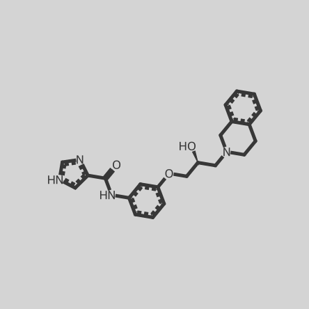 O=C(Nc1cccc(OC[C@@H](O)CN2CCc3ccccc3C2)c1)c1c[nH]cn1